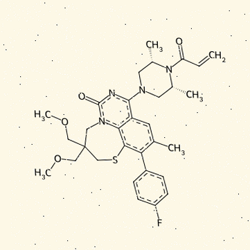 C=CC(=O)N1[C@H](C)CN(c2nc(=O)n3c4c(c(-c5ccc(F)cc5)c(C)cc24)SCC(COC)(COC)C3)C[C@@H]1C